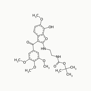 COc1cc(C(=O)c2c(NCCNC(=O)OC(C)(C)C)oc3c(O)c(OC)ccc23)cc(OC)c1OC